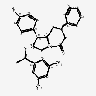 C[C@@H](O[C@H]1CN2C(=O)CC(c3ccccc3)CC2[C@@H]1c1ccc(F)cc1)c1cc(C(F)(F)F)cc(C(F)(F)F)c1